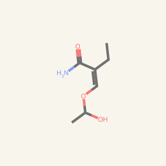 CCC(=COC(C)O)C(N)=O